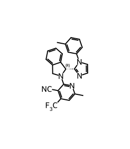 Cc1cccc(-n2ccnc2[C@H]2c3ccccc3CN2c2nc(C)cc(C(F)(F)F)c2C#N)c1